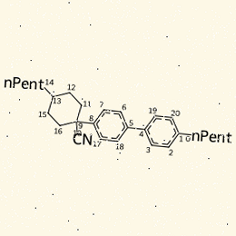 CCCCCc1ccc(-c2ccc(C3(C#N)CCC(CCCCC)CC3)cc2)cc1